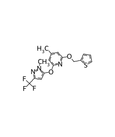 Cc1cc(OCc2cccs2)nc(Oc2cc(C(F)(F)F)nn2C)c1